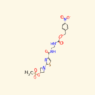 CS(=O)(=O)OC1CN(c2nc(C(=O)NCCNC(=O)OCc3ccc([N+](=O)[O-])cc3)cs2)C1